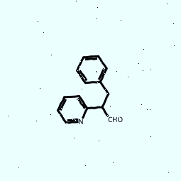 O=CC(Cc1ccccc1)c1ccccn1